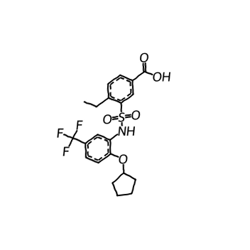 CCc1ccc(C(=O)O)cc1S(=O)(=O)Nc1cc(C(F)(F)F)ccc1OC1CCCC1